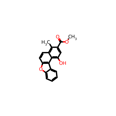 COC(=O)c1cc(O)c2c(ccc3oc4ccccc4c32)c1C